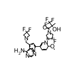 COC1C=CC(c2cc(CN3CC(F)(F)C3)c3c(N)ncnn23)=CN1[C@@H]1CN(C(=O)C(C)(O)C(F)(F)F)C[C@@H]1F